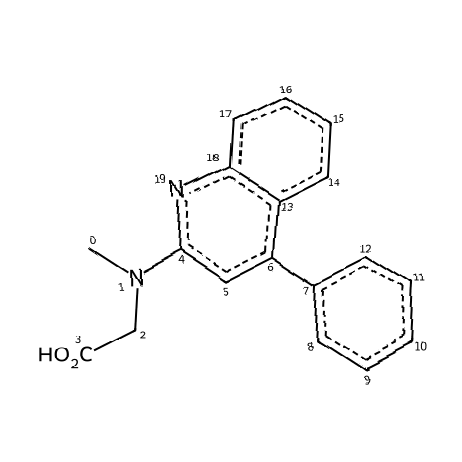 CN(CC(=O)O)c1cc(-c2ccccc2)c2ccccc2n1